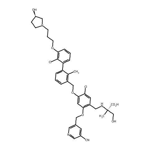 Cc1c(COc2cc(OCc3cncc(C#N)c3)c(CN[C@](C)(CO)C(=O)O)cc2Cl)cccc1-c1cccc(OCCCN2CC[C@@H](O)C2)c1Cl